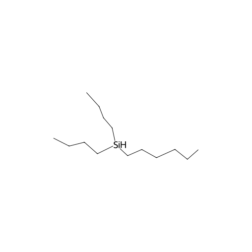 CCCCCC[SiH](CCCC)CCCC